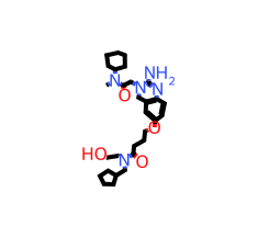 CN(C(=O)CN1Cc2cc(OCCCC(=O)N(CCO)CC3CCCC3)ccc2N=C1N)C1CCCCC1